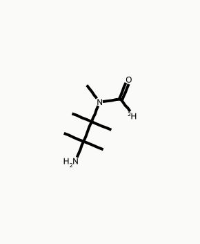 [2H]C(=O)N(C)C(C)(C)C(C)(C)N